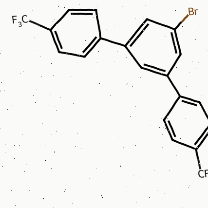 FC(F)(F)c1ccc(-c2cc(Br)cc(-c3ccc(C(F)(F)F)cc3)c2)cc1